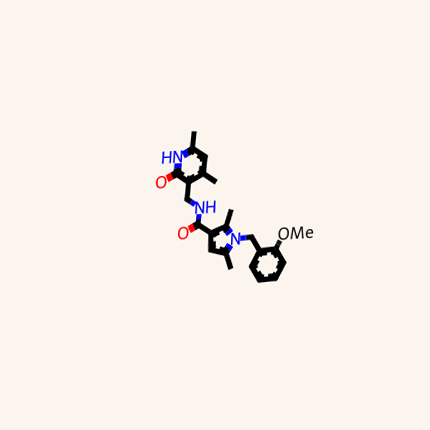 COc1ccccc1Cn1c(C)cc(C(=O)NCc2c(C)cc(C)[nH]c2=O)c1C